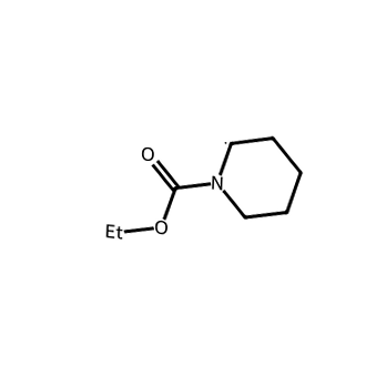 CCOC(=O)N1[CH]CCCC1